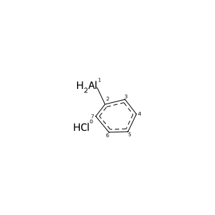 Cl.[AlH2][c]1ccccc1